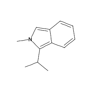 CC(C)c1c2ccccc2cn1C